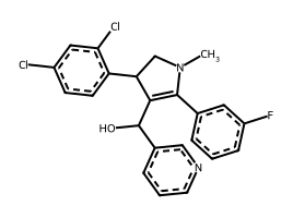 CN1CC(c2ccc(Cl)cc2Cl)C(C(O)c2cccnc2)=C1c1cccc(F)c1